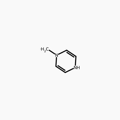 [CH2]N1C=CNC=C1